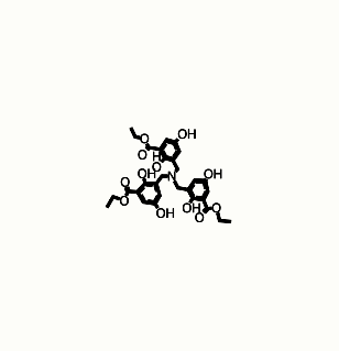 CCOC(=O)c1cc(O)cc(CN(Cc2cc(O)cc(C(=O)OCC)c2O)Cc2cc(O)cc(C(=O)OCC)c2O)c1O